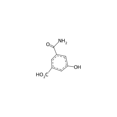 NC(=O)c1cc(O)cc(C(=O)O)c1